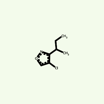 CCC(C)c1nocc1Cl